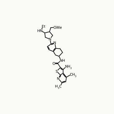 CCNC1CN(c2ccc3c(n2)CCC(NC(=O)c2sc4nc(C)cc(C)c4c2N)C3)CC1COC